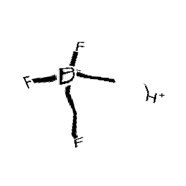 C[B-](F)(F)F.[H+]